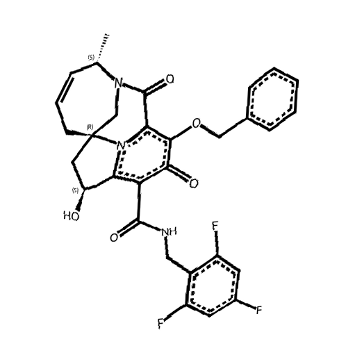 C[C@H]1C=CC[C@]23C[C@H](O)c4c(C(=O)NCc5c(F)cc(F)cc5F)c(=O)c(OCc5ccccc5)c(n42)C(=O)N1C3